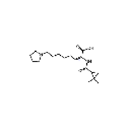 CC1(C)CC1C(=O)N/C(=C/CCCCCN1CCCC1)C(=O)O